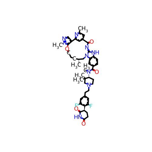 Cc1cc2cc(n1)-c1cnn(C)c1OCCC[C@@H](C)CN1/C(=N/C2=O)Nc2ccc(C(=O)N(C)[C@@H]3CCN(CCc4cc(F)c([C@H]5CCC(=O)NC5=O)c(F)c4)CC3(C)C)cc21